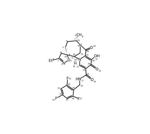 CCC1=NO[C@@]2(CC[C@H](C)N3C[C@H]2n2cc(C(=O)NCc4c(F)cc(F)cc4F)c(=O)c(O)c2C3=O)C1